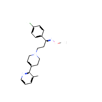 CO/N=C(\CCN1CC=C(c2ncccc2C)CC1)c1ccc(Cl)cc1